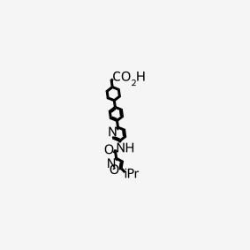 CC(C)c1cc(C(=O)Nc2ccc(-c3ccc(C4CCC(CC(=O)O)CC4)cc3)nc2)no1